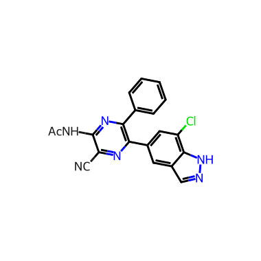 CC(=O)Nc1nc(-c2ccccc2)c(-c2cc(Cl)c3[nH]ncc3c2)nc1C#N